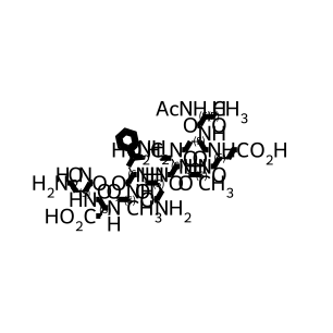 CC(=O)N[C@H](C(=O)N[C@@H](CC(N)=O)C(=O)N[C@@H](CCC(=O)O)C(=O)N[C@@H](C)C(=O)N[C@@H](CCC(=O)O)C(=O)N[C@@H](CC(N)=O)C(=O)N[C@@H](Cc1c[nH]c2ccccc12)C(=O)N[C@@H](C)C(=O)N[C@@H](CC(=O)O)C(=O)N[C@@H](CC(N)=O)C(N)=O)[C@@H](C)O